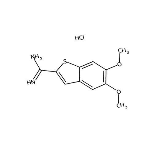 COc1cc2cc(C(=N)N)sc2cc1OC.Cl